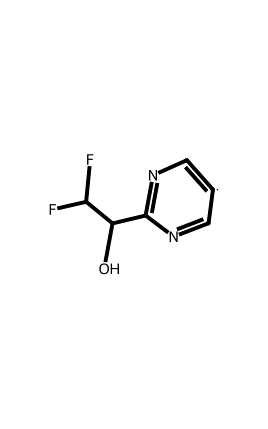 OC(c1nc[c]cn1)C(F)F